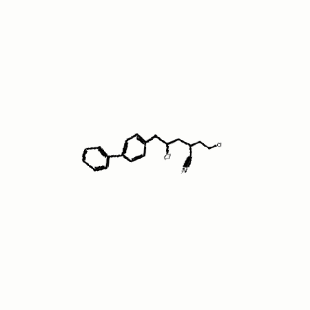 N#CC(CCCl)CC(Cl)Cc1ccc(-c2ccccc2)cc1